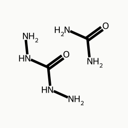 NC(N)=O.NNC(=O)NN